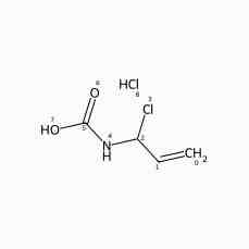 C=CC(Cl)NC(=O)O.Cl